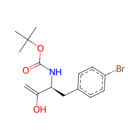 C=C(O)[C@H](Cc1ccc(Br)cc1)NC(=O)OC(C)(C)C